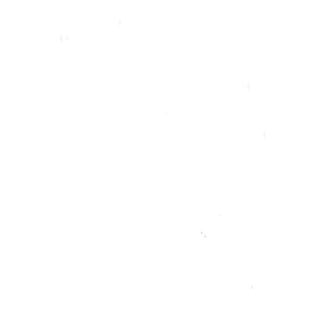 CC(C)(C)OC(=O)N1CCC(C(=O)c2cc(Cl)c(Cl)cc2OCOCC[Si](C)(C)C)CC1(C)C